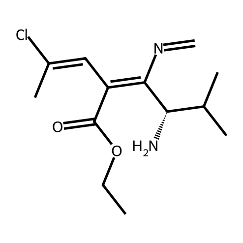 C=N/C(=C(\C=C(/C)Cl)C(=O)OCC)[C@@H](N)C(C)C